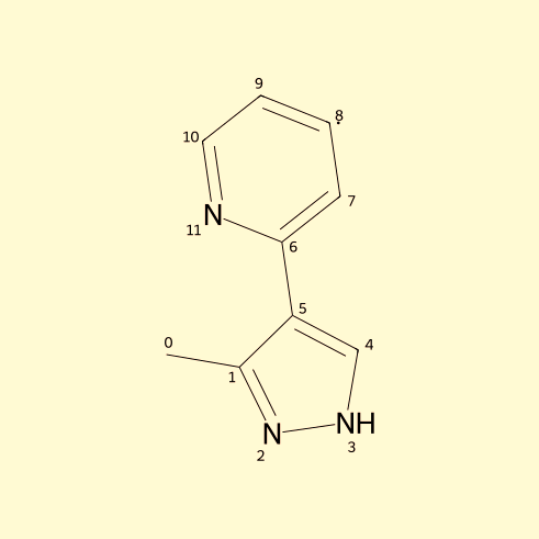 Cc1n[nH]cc1-c1c[c]ccn1